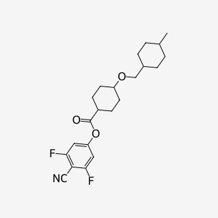 CC1CCC(COC2CCC(C(=O)Oc3cc(F)c(C#N)c(F)c3)CC2)CC1